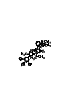 Cc1cc(Nc2ncc(Cl)c(Nc3ccccc3S(=O)(=O)C(C)C)n2)c(OC(C)C)cc1C1=C[C@H](C2CCC2)N(C2COC2)[C@@H](C2CCC2)C1